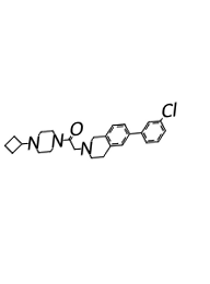 O=C(CN1CCc2cc(-c3cccc(Cl)c3)ccc2C1)N1CCN(C2CCC2)CC1